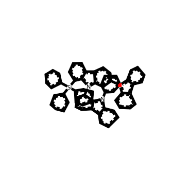 c1ccc(-n2c3ccccc3c3cccc(-n4c5cc(-n6c7ccccc7c7ccccc76)ccc5c5cccc([Si](c6ccccc6)(c6ccccc6)c6ccccc6)c54)c32)cc1